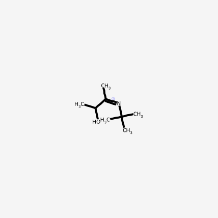 C/C(=N/C(C)(C)C)C(C)O